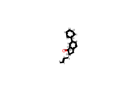 CC=CC[C@H]1Cc2ccc(-c3ccccc3)cc2C1=O